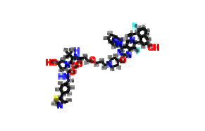 C#Cc1c(F)ccc2cc(O)cc(-c3ncc4c(N5CC6CCC(C5)N6)nc(OC5CCN(CCCOCCC(=O)NC(C(=O)N6C[C@H](O)C[C@H]6C(=O)NCc6ccc(-c7scnc7C)cc6)C(C)(C)C)CC5)nc4c3F)c12